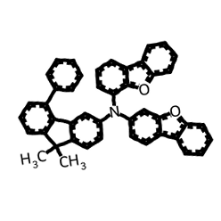 CC1(C)c2ccc(N(c3ccc4c(c3)oc3ccccc34)c3cccc4c3oc3ccccc34)cc2-c2c(-c3ccccc3)cccc21